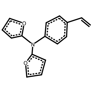 C=Cc1ccc(N(c2ccco2)c2ccco2)cc1